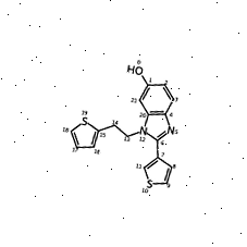 Oc1ccc2nc(-c3ccsc3)n(CCc3cccs3)c2c1